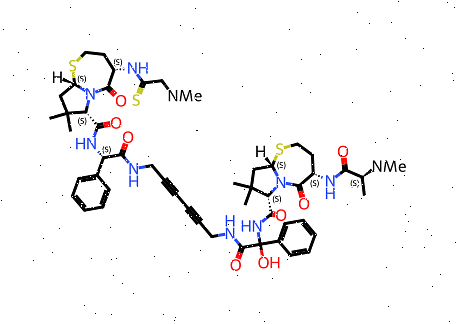 CNCC(=S)N[C@H]1CCS[C@H]2CC(C)(C)[C@@H](C(=O)N[C@H](C(=O)NCC#CC#CCNC(=O)C(O)(NC(=O)[C@H]3N4C(=O)[C@@H](NC(=O)[C@H](C)NC)CCS[C@H]4CC3(C)C)c3ccccc3)c3ccccc3)N2C1=O